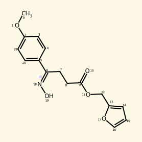 COc1ccc(/C(CCC(=O)OCc2ccco2)=N/O)cc1